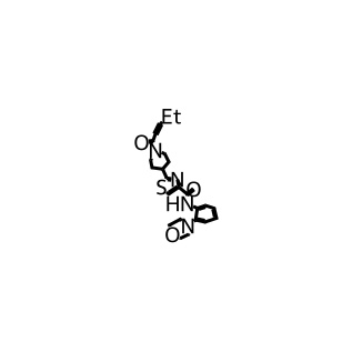 CCC#CC(=O)N1CCC(c2nc(C(=O)Nc3ccccc3N3CCOCC3)cs2)CC1